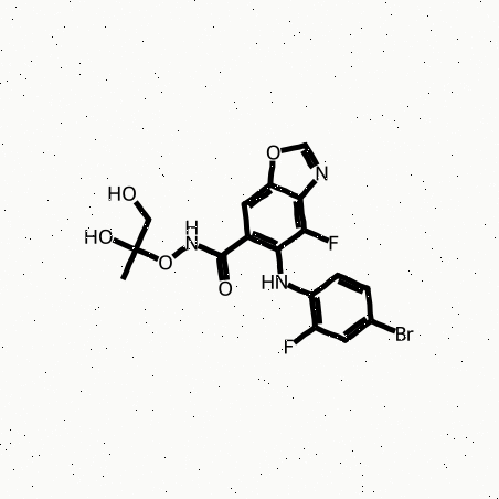 CC(O)(CO)ONC(=O)c1cc2ocnc2c(F)c1Nc1ccc(Br)cc1F